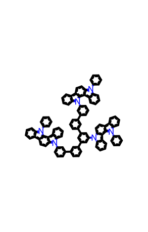 c1ccc(-n2c3ccccc3c3c2ccc2c4ccccc4n(-c4cccc(-c5cccc(-c6cc(-c7cccc(-c8cccc(-n9c%10ccccc%10c%10c9ccc9c%11ccccc%11n(-c%11ccccc%11)c9%10)c8)c7)cc(-n7c8ccccc8c8c7ccc7c9ccccc9n(-c9ccccc9)c78)c6)c5)c4)c23)cc1